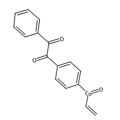 C=[CH][Co](=[O])[c]1ccc(C(=O)C(=O)c2ccccc2)cc1